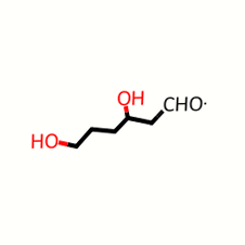 O=[C]CC(O)CCCO